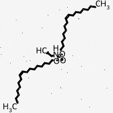 C#CCNP(=O)(OCCCCCCCC/C=C\CCCCCCCC)OCCCCCCCC/C=C\CCCCCCCC